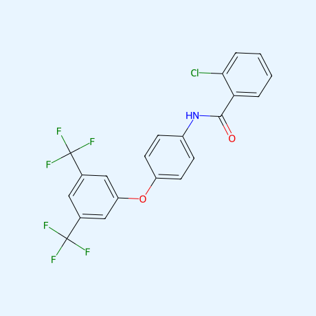 O=C(Nc1ccc(Oc2cc(C(F)(F)F)cc(C(F)(F)F)c2)cc1)c1ccccc1Cl